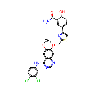 COc1cc2c(Nc3ccc(Cl)c(Cl)c3)ncnc2cc1OCc1nc(C2=CCC(O)C(C(N)=O)=C2)cs1